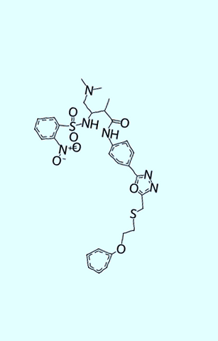 CC(C(=O)Nc1ccc(-c2nnc(CSCCOc3ccccc3)o2)cc1)C(CN(C)C)NS(=O)(=O)c1ccccc1[N+](=O)[O-]